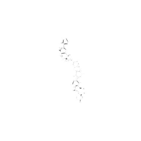 O=C1CCC(N2C(=O)c3ccc(N4CCC(CN5CCC(N6CCN7c8cc(-c9ccccc9O)nnc8NC[C@H]7C6)CC5)CC4)cc3C2=O)C(=O)N1